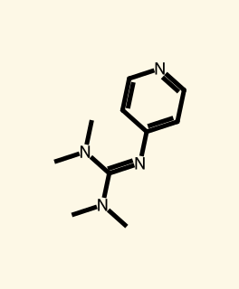 CN(C)C(=Nc1ccncc1)N(C)C